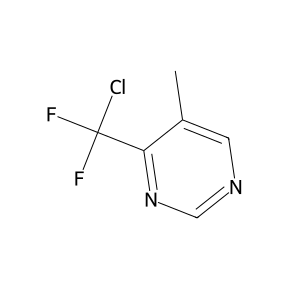 Cc1cncnc1C(F)(F)Cl